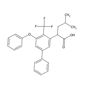 CC(C)CC(C(=O)O)c1cc(-c2ccccc2)cc(Oc2ccccc2)c1C(F)(F)F